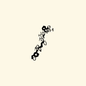 O=C(CCc1nc(-c2ccc3c(c2)CCO3)no1)NCC(O)CNc1n[nH]c(=O)c2ccccc12